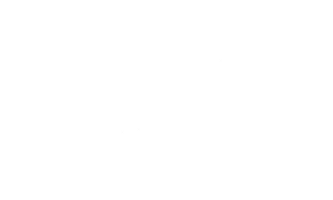 CCC(CCCc1ccc2c(c1)CCc1ccccc1C2=O)C(=O)O